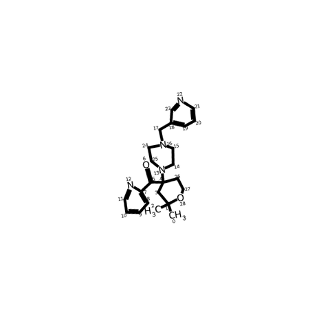 CC1(C)CC(C(=O)c2ccccn2)(N2CCN(Cc3cccnc3)CC2)CCO1